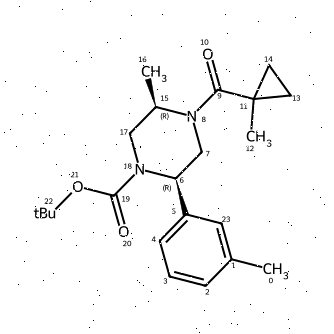 Cc1cccc([C@@H]2CN(C(=O)C3(C)CC3)[C@H](C)CN2C(=O)OC(C)(C)C)c1